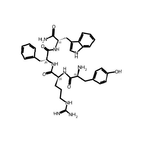 N=C(N)NCCC[C@H](NC(=O)[C@@H](N)Cc1ccc(O)cc1)C(=O)N[C@H](Cc1ccccc1)C(=O)N[C@@H](Cc1c[nH]c2ccccc12)C(N)=O